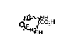 CC(F)(F)c1cccc(CN2CCN(CCCC(N)(CCCCB(O)O)C(=O)O)CC2)c1